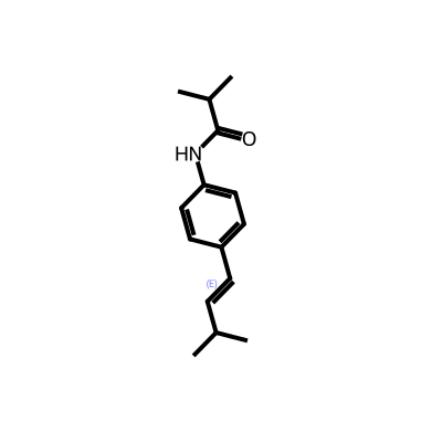 CC(C)/C=C/c1ccc(NC(=O)C(C)C)cc1